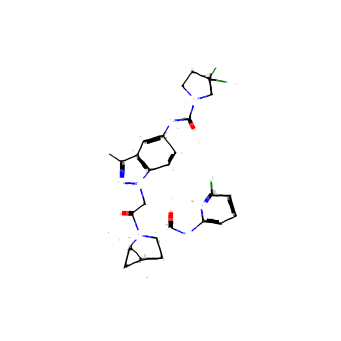 CC(=O)c1nn(CC(=O)N2[C@H](C(=O)Nc3cccc(Br)n3)C[C@@]3(C)C[C@@H]23)c2ccc(NC(=O)N3CCC(F)(F)C3)cc12